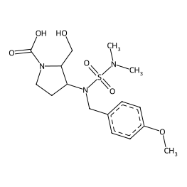 COc1ccc(CN(C2CCN(C(=O)O)C2CO)S(=O)(=O)N(C)C)cc1